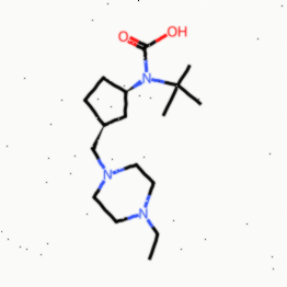 CCN1CCN(C[C@H]2CC[C@@H](N(C(=O)O)C(C)(C)C)C2)CC1